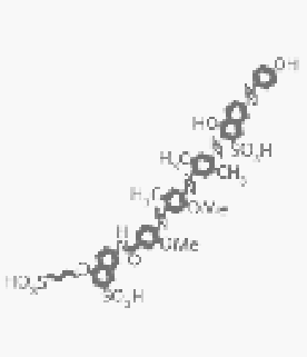 COc1cc(C(=O)Nc2ccc3c(OCCCCS(=O)(=O)O)cc(S(=O)(=O)O)cc3c2)ccc1N=Nc1cc(OC)c(N=Nc2cc(C)c(N=Nc3c(S(=O)(=O)O)cc4cc(/N=N/c5ccc(O)cc5)ccc4c3O)cc2C)cc1C